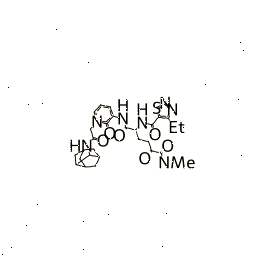 CCc1nnsc1C(=O)N[C@@H](CCC(=O)C(=O)NC)C(=O)Nc1cccn(CC(=O)NC2C3CC4CC(C3)C2C4)c1=O